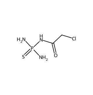 NP(N)(=S)NC(=O)CCl